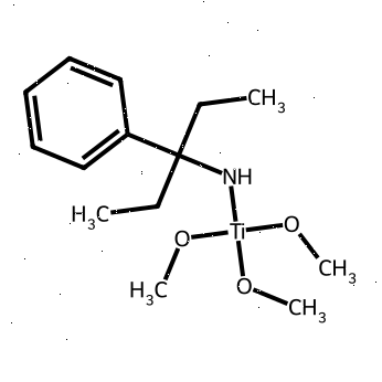 CCC(CC)([NH][Ti]([O]C)([O]C)[O]C)c1ccccc1